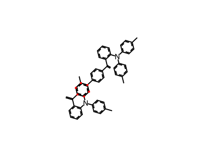 C=C(c1ccc(-c2ccc(C(=C)c3ccccc3N(c3ccc(C)cc3)c3ccc(C)cc3)cc2)cc1)c1ccccc1N(c1ccc(C)cc1)c1ccc(C)cc1